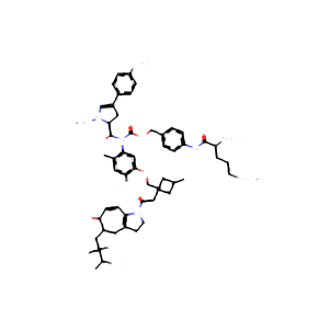 CCC(C)(CC1CC2=C(C=CC1O)N(C(=O)CC1(COc3cc(N(C(=O)OCc4ccc(NC(=O)C(CCCNC)NC)cc4)C(O)C4CC(c5ccc(OC)cc5)=CN4C=O)c(C)cc3OC)CC(C)C1)CC2)C(C)C=O